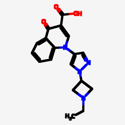 CCN1CC(n2cc(-n3cc(C(=O)O)c(=O)c4ccccc43)cn2)C1